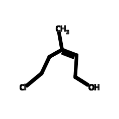 CC(=CCO)CCCl